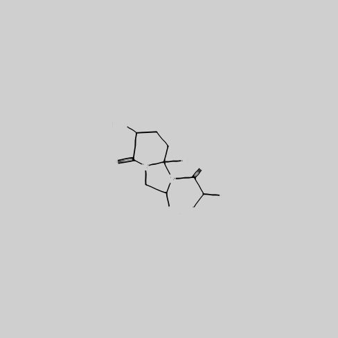 CC1CCC2(C)N(CC(C)N2C(=O)C(Cl)Cl)C1=O